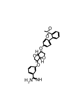 CS(=O)(=O)c1ccccc1-c1ccc(O[C@@H]2CO[C@H]3[C@@H]2OC[C@@H]3Oc2cccc(C(=N)N)c2)cc1